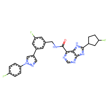 O=C(NCc1cc(F)cc(-c2cnn(-c3ccc(F)cc3)c2)c1)c1ncnc2nc(C3CCC(F)C3)[nH]c12